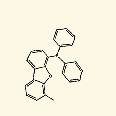 Cc1cccc2c1oc1c(P(c3ccccc3)c3ccccc3)cccc12